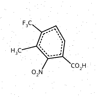 Cc1c(C(F)(F)F)ccc(C(=O)O)c1[N+](=O)[O-]